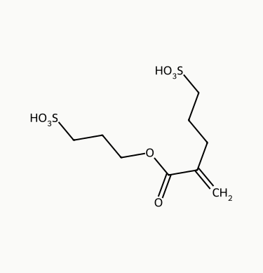 C=C(CCCS(=O)(=O)O)C(=O)OCCCS(=O)(=O)O